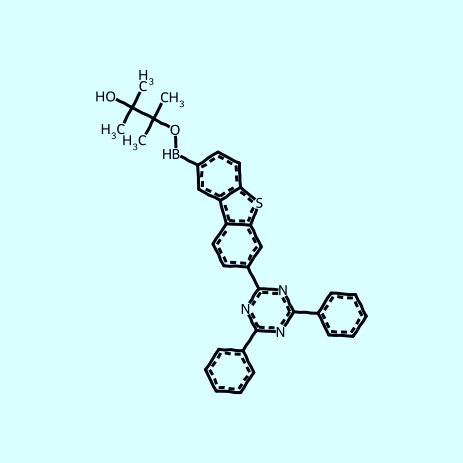 CC(C)(O)C(C)(C)OBc1ccc2sc3cc(-c4nc(-c5ccccc5)nc(-c5ccccc5)n4)ccc3c2c1